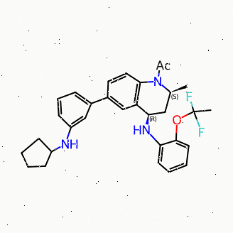 CC(=O)N1c2ccc(-c3cccc(NC4CCCC4)c3)cc2[C@H](Nc2ccccc2OC(C)(F)F)C[C@@H]1C